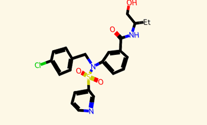 CCC(CO)NC(=O)c1cccc(N(Cc2ccc(Cl)cc2)S(=O)(=O)c2cccnc2)c1